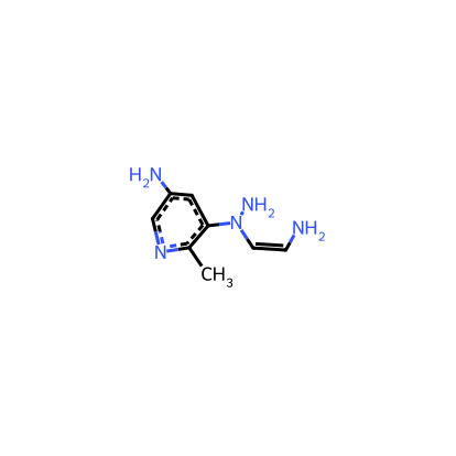 Cc1ncc(N)cc1N(N)/C=C\N